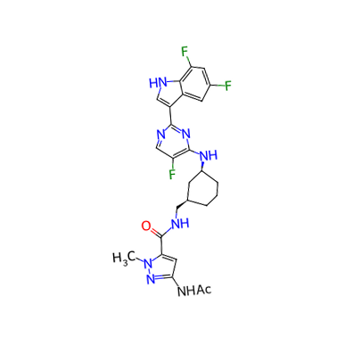 CC(=O)Nc1cc(C(=O)NC[C@@H]2CCC[C@H](Nc3nc(-c4c[nH]c5c(F)cc(F)cc45)ncc3F)C2)n(C)n1